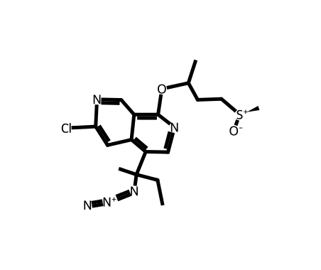 CCC(C)(N=[N+]=[N-])c1cnc(OC(C)CC[S@@+](C)[O-])c2cnc(Cl)cc12